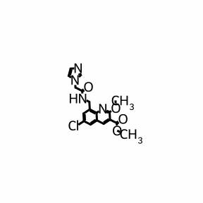 COC(=O)c1cc2cc(Cl)cc(CNC(=O)Cn3ccnc3)c2nc1OC